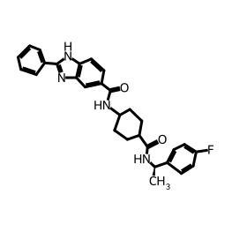 C[C@@H](NC(=O)C1CCC(NC(=O)c2ccc3[nH]c(-c4ccccc4)nc3c2)CC1)c1ccc(F)cc1